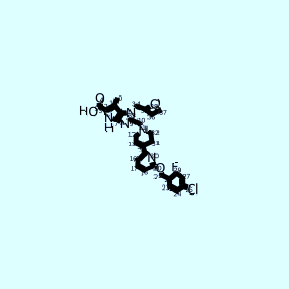 Cc1c(C(=O)O)[nH]c2nc(CN3CC=C(c4cccc(OCc5ccc(Cl)cc5F)n4)CC3)n(CC3CCO3)c12